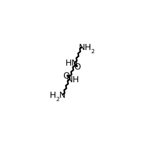 NCCCCCCNC(=O)CCCCC(=O)NCCCCCCN